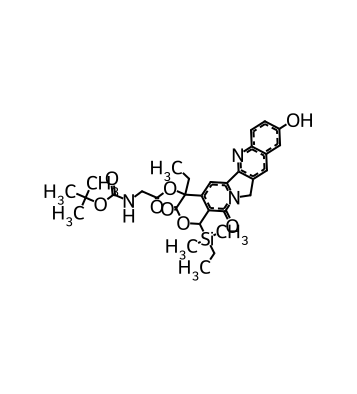 CCC1(OC(=O)CNC(=O)OC(C)(C)C)C(=O)OC([Si](C)(C)CC)c2c1cc1n(c2=O)Cc2cc3cc(O)ccc3nc2-1